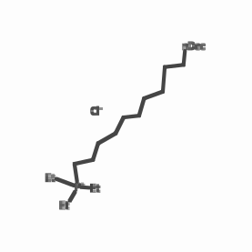 CCCCCCCCCCCCCCCCCCCC[P+](CC)(CC)CC.[Cl-]